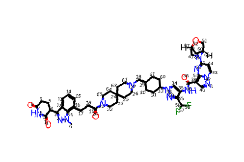 Cn1nc(C2CCC(=O)NC2=O)c2cccc(CCC(=O)N3CCC4(CCN(CC5CCC(n6cc(NC(=O)c7cnn8ccc(N9C[C@H]%10C[C@@H]9CO%10)nc78)c(C(F)F)n6)CC5)CC4)CC3)c21